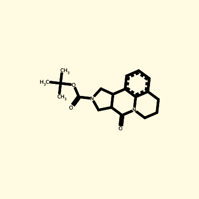 CC(C)(C)OC(=O)N1CC2C(=O)N3CCCc4cccc(c43)C2C1